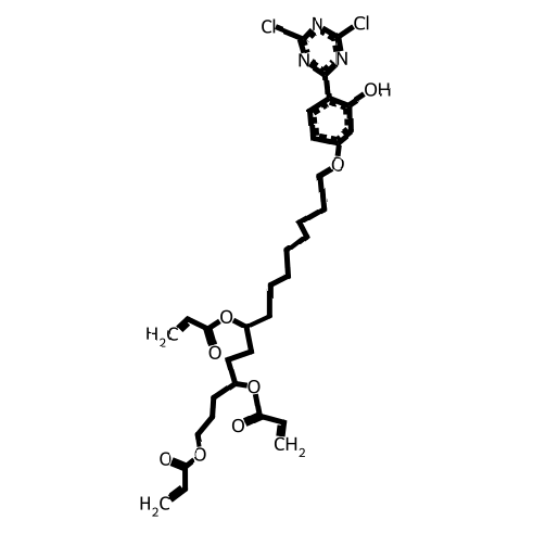 C=CC(=O)OCCCC(CCC(CCCCCCCCOc1ccc(-c2nc(Cl)nc(Cl)n2)c(O)c1)OC(=O)C=C)OC(=O)C=C